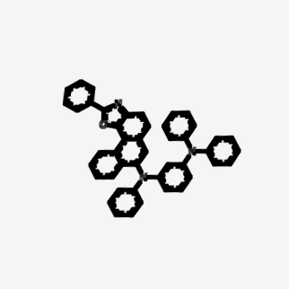 c1ccc(-c2nc3ccc4cc(N(c5ccccc5)c5cccc(N(c6ccccc6)c6ccccc6)c5)c5ccccc5c4c3o2)cc1